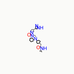 O=C(Cc1ccc(N2CCN(C(=O)N3CCC(c4cn[nH]c4)C3)c3ccccc32)cc1)NC1CC1